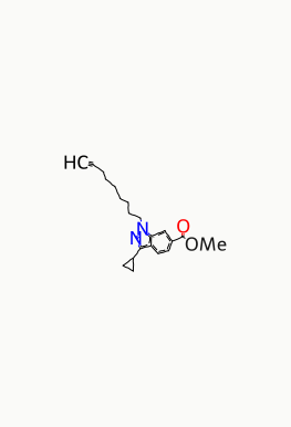 C#CCCCCCCCn1nc(C2CC2)c2ccc(C(=O)OC)cc21